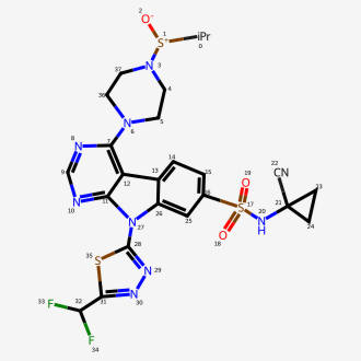 CC(C)[S+]([O-])N1CCN(c2ncnc3c2c2ccc(S(=O)(=O)NC4(C#N)CC4)cc2n3-c2nnc(C(F)F)s2)CC1